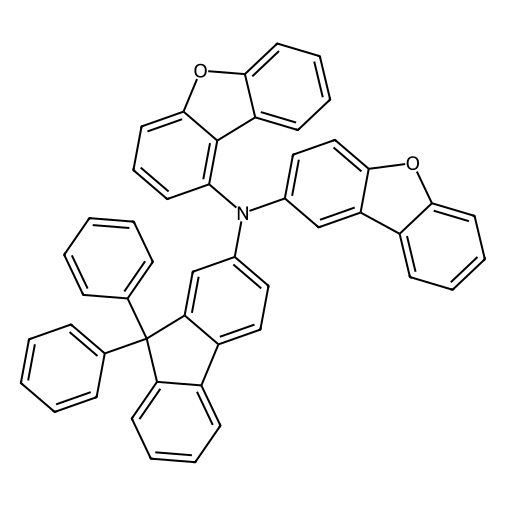 c1ccc(C2(c3ccccc3)c3ccccc3-c3ccc(N(c4ccc5oc6ccccc6c5c4)c4cccc5oc6ccccc6c45)cc32)cc1